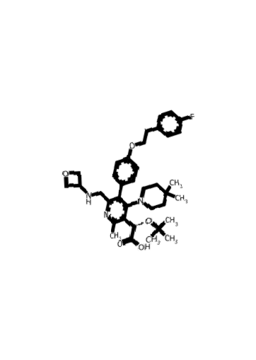 Cc1nc(CNC2COC2)c(-c2ccc(OCCc3ccc(F)cc3)cc2)c(N2CCC(C)(C)CC2)c1[C@H](OC(C)(C)C)C(=O)O